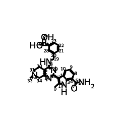 Cc1[nH]c2c(C(N)=O)cccc2c1-c1nc2c(c(NCc3cccc(B(O)O)c3)n1)CCN(C)C2